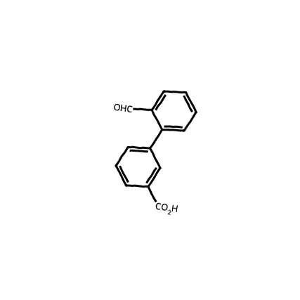 O=Cc1ccccc1-c1cccc(C(=O)O)c1